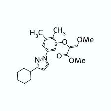 CO/C=C(\Oc1cc(-n2ccc(C3CCCCC3)n2)cc(C)c1C)C(=O)OC